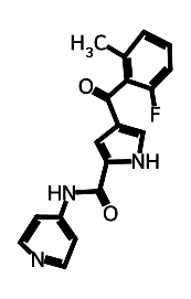 Cc1cccc(F)c1C(=O)c1c[nH]c(C(=O)Nc2ccncc2)c1